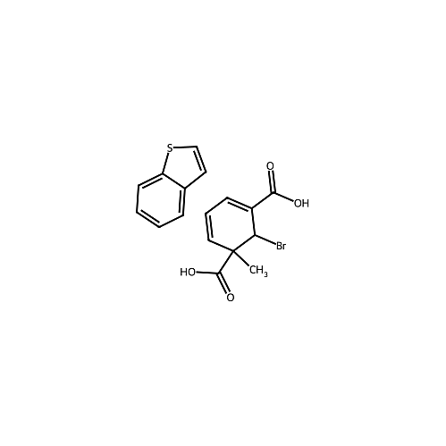 CC1(C(=O)O)C=CC=C(C(=O)O)C1Br.c1ccc2sccc2c1